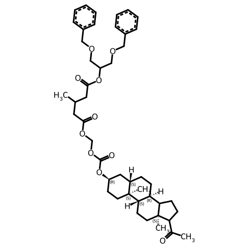 CC(=O)C1CCC2[C@@H]3CC[C@H]4C[C@H](OC(=O)OCOC(=O)CC(C)CC(=O)OC(COCc5ccccc5)COCc5ccccc5)CC[C@]4(C)[C@H]3CC[C@]12C